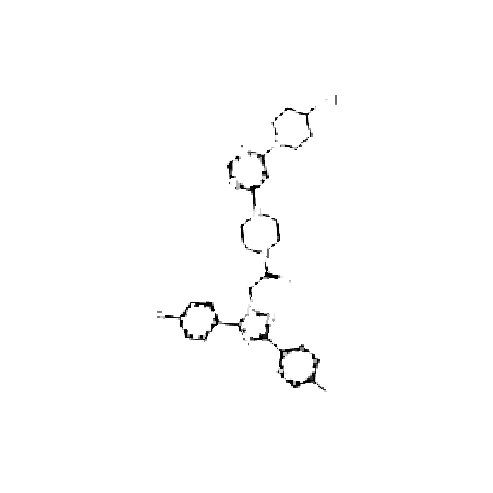 O=C(Cn1nc(-c2ccc(F)cc2)nc1-c1ccc(F)cc1)N1CCN(c2cc(N3CCC(O)CC3)ncn2)CC1